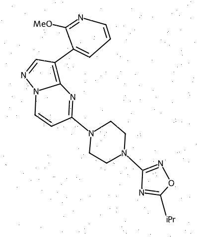 COc1ncccc1-c1cnn2ccc(N3CCN(c4noc(C(C)C)n4)CC3)nc12